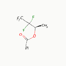 CC(C)C(=O)O[C@H](C)C(F)(F)C(F)(F)F